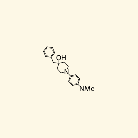 CNc1ccc(N2CCC(O)(Cc3ccccc3)CC2)cc1